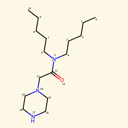 CCCCCN(CCCCC)C(=O)CN1CCNCC1